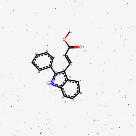 COC(=O)C=Cc1c(-c2ccccc2)[nH]c2ccccc12